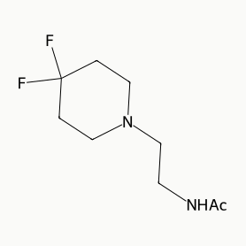 CC(=O)NCCN1CCC(F)(F)CC1